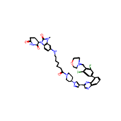 Cn1c(=O)n(C2CCC(=O)NC2=O)c2ccc(NCCCCCCC(=O)N3CCC(n4cc(-c5cnc6cccc(-c7cc(F)c(CN8CCOCC8)c(F)c7)c6n5)cn4)CC3)cc21